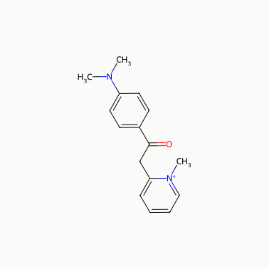 CN(C)c1ccc(C(=O)Cc2cccc[n+]2C)cc1